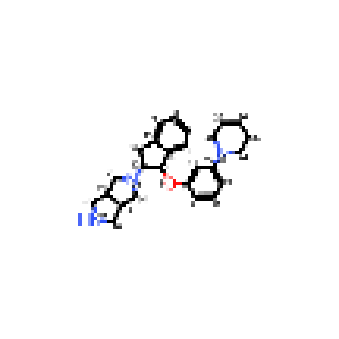 c1cc(OC2c3ccccc3CC2N2CC3CNCC3C2)cc(N2CCCCC2)c1